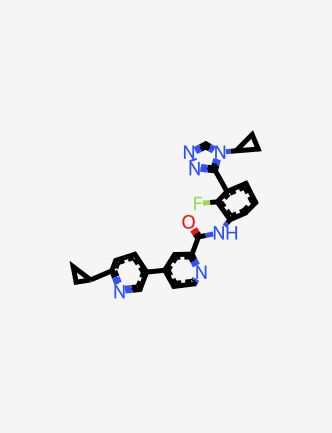 O=C(Nc1cccc(-c2nncn2C2CC2)c1F)c1cc(-c2ccc(C3CC3)nc2)ccn1